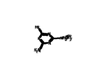 Nc1nc(N)nc(S)n1.S